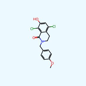 COc1ccc(CN2CCc3c(Cl)cc(O)c(Cl)c3C2=O)cc1